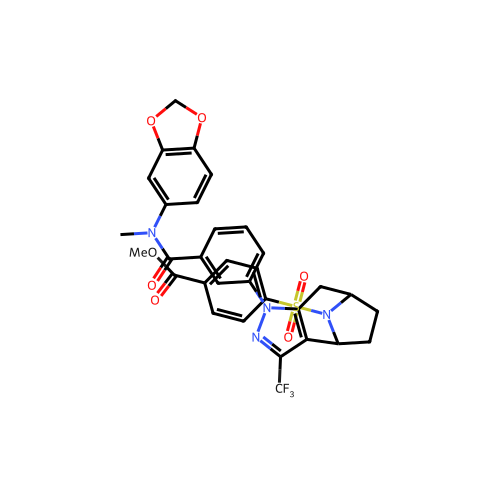 COC(=O)c1ccc(S(=O)(=O)N2C3CCC2c2c(C(F)(F)F)nn(-c4cccc(C(=O)N(C)c5ccc6c(c5)OCO6)c4)c2C3)cc1